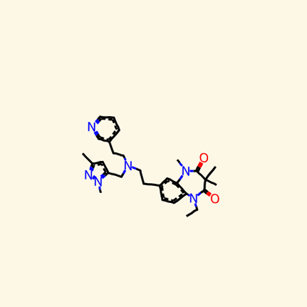 CCN1C(=O)C(C)(C)C(=O)N(C)c2cc(CCN(CCc3cccnc3)Cc3cc(C)nn3C)ccc21